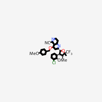 COc1ccc(COc2cc([C@@H]3O[C@@](C)(C(F)(F)F)[C@@H](C)[C@H]3c3cccc(Cl)c3OC)nc3ccnc(C#N)c23)cc1